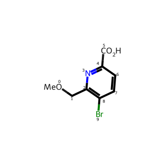 COCc1nc(C(=O)O)ccc1Br